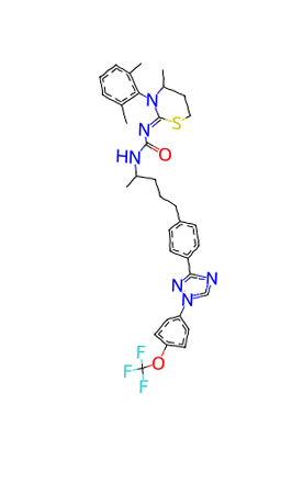 Cc1cccc(C)c1N1/C(=N/C(=O)NC(C)CCCc2ccc(-c3ncn(-c4ccc(OC(F)(F)F)cc4)n3)cc2)SCCC1C